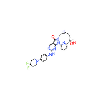 C[C@@]1(O)CC/C=C\Cn2c(=O)c3cnc(Nc4ccc(N5CCC(F)(F)CC5)cc4)nc3n2-c2cccc1n2